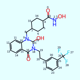 O=C(NO)C1CCC(CN2c3ccccc3C(=O)N(CCc3cccc(C(F)(F)F)c3)C2O)CC1